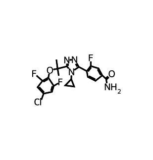 CC(C)(Oc1c(F)cc(Cl)cc1F)c1nnc(-c2ccc(C(N)=O)cc2F)n1C1CC1